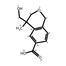 CC1(CO)COCc2ccc(C(=O)O)cc21